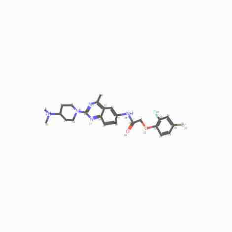 Cc1nc(N2CCC(N(C)C)CC2)nc2ccc(NC(=O)COc3ccc(Br)cc3F)cc12